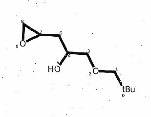 CC(C)(C)COCC(O)CC1CO1